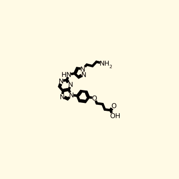 NCCCn1cc(Nc2ncc3ncn(-c4ccc(OCCCC(=O)O)cc4)c3n2)cn1